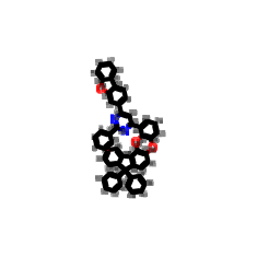 c1ccc(-c2nc(-c3ccc4c(c3)oc3ccccc34)cc(-c3cccc4c3Oc3c(ccc5c3-c3ccccc3C5(c3ccccc3)c3ccccc3)O4)n2)cc1